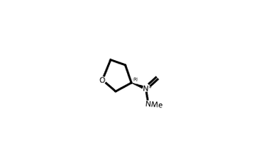 C=[N+](NC)[C@@H]1CCOC1